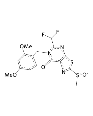 COc1ccc(Cn2c(C(F)F)nc3sc([S+](C)[O-])nc3c2=O)c(OC)c1